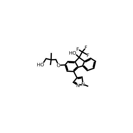 Cn1cc(-c2cc(OCC(C)(C)CO)cc3c2-c2ccccc2C3(O)C(F)(F)F)cn1